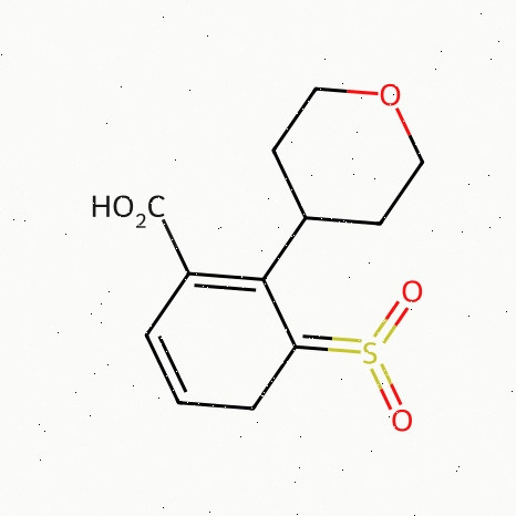 O=C(O)C1=C(C2CCOCC2)C(=S(=O)=O)CC=C1